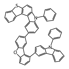 c1ccc(-n2c3ccccc3c3cc(-c4cccc5oc6ccc(-c7ccc8c(c7)c7c9c(ccc7n8-c7ccccc7)sc7ccccc79)cc6c45)ccc32)cc1